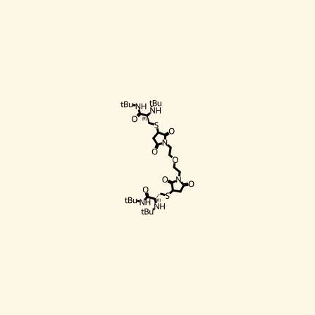 CC(C)(C)NC(=O)[C@H](CSC1CC(=O)N(CCOCCN2C(=O)CC(SC[C@H](NC(C)(C)C)C(=O)NC(C)(C)C)C2=O)C1=O)NC(C)(C)C